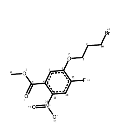 COC(=O)c1cc(OCCCBr)c(F)cc1[N+](=O)[O-]